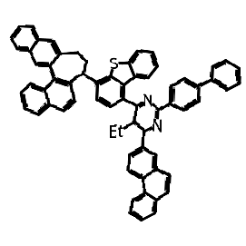 CCC1C(c2ccc(C3CCc4cc5ccccc5cc4-c4c3ccc3ccccc43)c3sc4ccccc4c23)=NC(c2ccc(-c3ccccc3)cc2)=NC1c1ccc2c(ccc3ccccc32)c1